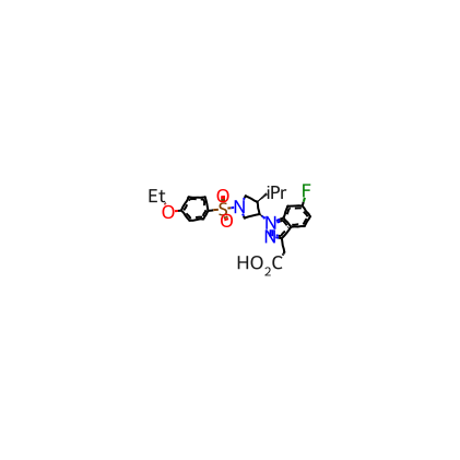 CCOc1ccc(S(=O)(=O)N2C[C@@H](C(C)C)[C@@H](n3nc(CC(=O)O)c4ccc(F)cc43)C2)cc1